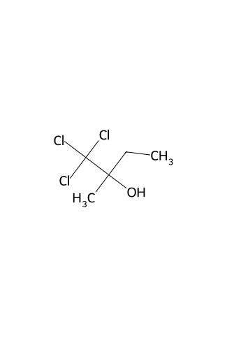 CCC(C)(O)C(Cl)(Cl)Cl